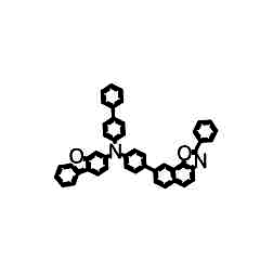 c1ccc(-c2ccc(N(c3ccc(-c4ccc5ccc6nc(-c7ccccc7)oc6c5c4)cc3)c3ccc4c(c3)oc3ccccc34)cc2)cc1